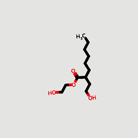 CCCCCCC(CCO)C(=O)OCCO